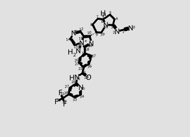 N#C/N=C1\CC[C@@H]2CC[C@@H](C3=C4C=NC=C[N+]4(N)C(c4ccc(C(=O)Nc5cc(C(F)(F)F)ccn5)cc4)=N3)CN12